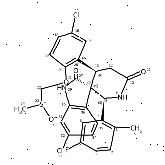 Cc1ccc(F)cc1[C@@H]1NC(=O)C[C@H](c2cc(Cl)ccc2OC[S+](C)[O-])[C@@]12C(=O)Nc1cc(Cl)ccc12